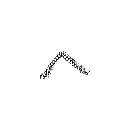 [Nb+5].[Nb+5].[O-2].[O-2].[O-2].[O-2].[O-2].[O-2].[O-2].[O-2].[O-2].[O-2].[O-2].[O-2].[O-2].[O-2].[O-2].[Pb+2].[Pb+2].[Ti+4].[Ti+4].[Zr+4].[Zr+4]